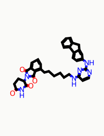 O=C1CCC(N2C(=O)c3cccc(CCCCCCNc4ccnc(Nc5ccc6c(c5)Cc5ccccc5-6)n4)c3C2=O)C(=O)N1